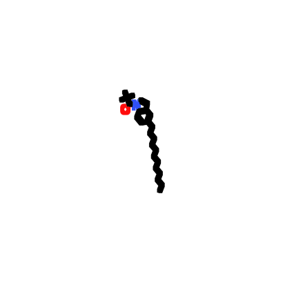 CCCCCCCCCCCCc1ccc2c(ccn2C(=O)C(C)(C)C)c1